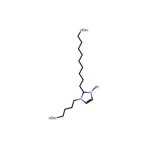 CCCCCCCCCCCCCCCCCCCC1N(CCCCCCCCCCCCCC)C=CN1C(C)C